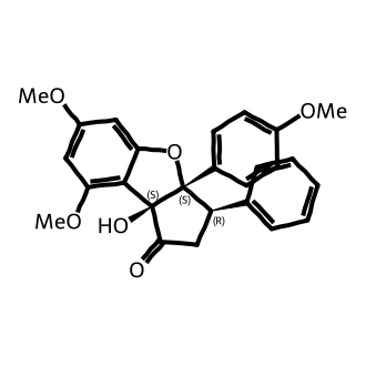 COc1ccc([C@]23Oc4cc(OC)cc(OC)c4[C@@]2(O)C(=O)C[C@@H]3c2ccccc2)cc1